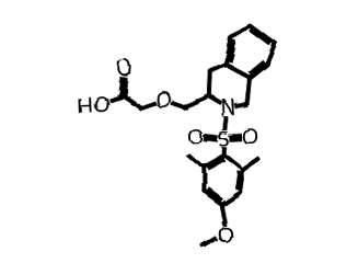 COc1cc(C)c(S(=O)(=O)N2Cc3ccccc3CC2COCC(=O)O)c(C)c1